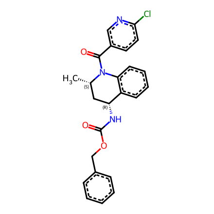 C[C@H]1C[C@@H](NC(=O)OCc2ccccc2)c2ccccc2N1C(=O)c1ccc(Cl)nc1